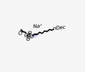 CCCCCCCCCCCCCCCC/C=C/OP(=O)([O-])OCC1CO1.[Na+]